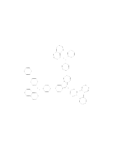 c1ccc(-c2ccc(N(c3ccc(-c4ccc5c(c4)c4cc(-c6ccc(N(c7ccccc7)c7cccc8ccccc78)cc6)ccc4n5-c4ccc5c6ccccc6c6ccccc6c5c4)cc3)c3cccc4ccccc34)cc2)cc1